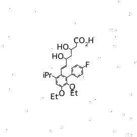 CCOc1cc(C(C)C)c(C=CC(O)CC(O)CC(=O)O)c(-c2ccc(F)cc2)c1OCC